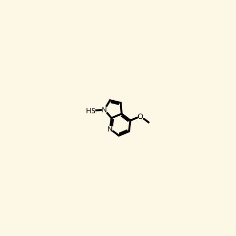 COc1ccnc2c1ccn2S